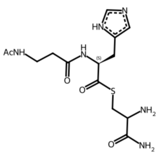 CC(=O)NCCC(=O)N[C@@H](Cc1cnc[nH]1)C(=O)SCC(N)C(N)=O